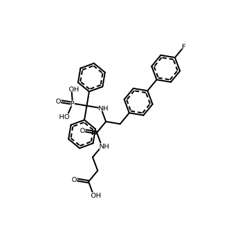 O=C(O)CCNC(=O)C(Cc1ccc(-c2ccc(F)cc2)cc1)NC(c1ccccc1)(c1ccccc1)P(=O)(O)O